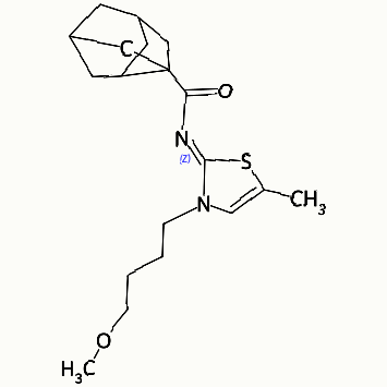 COCCCCn1cc(C)s/c1=N\C(=O)C12CC3CC(CC1C3)C2